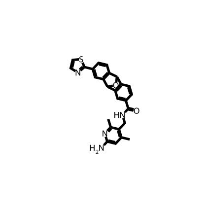 Cc1cc(N)nc(C)c1CNC(=O)c1ccc2c(c1)C1OC2c2ccc(-c3nccs3)cc21